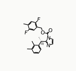 Cc1cc(F)c(COC(=O)n2ccnc2[C@@H](C)c2cccc(C)c2C)cc1F